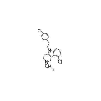 CN1CCc2c(c3c(Cl)cccc3n2CCc2ccc(Cl)cc2)C1